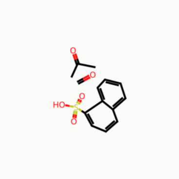 C=O.CC(C)=O.O=S(=O)(O)c1cccc2ccccc12